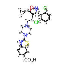 O=C(O)c1ccc2nc(N3CCN(CCc4c(-c5c(Cl)cccc5Cl)noc4C4CC4)CC3)sc2c1